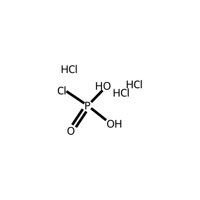 Cl.Cl.Cl.O=P(O)(O)Cl